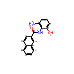 Nc1cccc(O)c1NC(=O)c1ccc2ccccc2c1